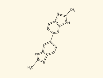 Cc1nc2ccc(-c3ccc4nc(C)[nH]c4c3)cc2[nH]1